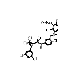 CC(=O)Nc1c(F)ccc(NCc2cc(NC(=O)C3C(c4cc(Cl)cc(Cl)c4)C3(Cl)Cl)ccc2Cl)c1Cl